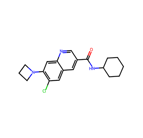 O=C(NC1CCCCC1)c1cnc2cc(N3CCC3)c(Cl)cc2c1